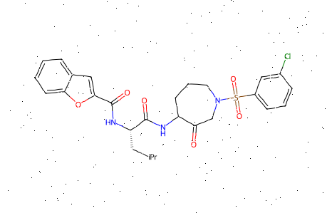 CC(C)C[C@H](NC(=O)c1cc2ccccc2o1)C(=O)NC1CCCN(S(=O)(=O)c2cccc(Cl)c2)CC1=O